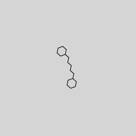 C1CCC(CCCCCC2CCCCC2)CC1